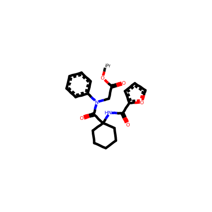 CC(C)OC(=O)CN(C(=O)C1(NC(=O)c2ccco2)CCCCC1)c1ccccc1